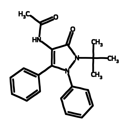 CC(=O)Nc1c(-c2ccccc2)n(-c2ccccc2)n(C(C)(C)C)c1=O